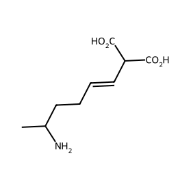 CC(N)CCC=CC(C(=O)O)C(=O)O